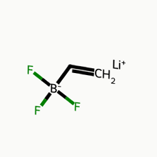 C=C[B-](F)(F)F.[Li+]